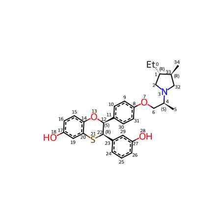 CC[C@H]1CN([C@@H](C)COc2ccc([C@@H]3Oc4ccc(O)cc4S[C@@H]3c3cccc(O)c3)cc2)C[C@@H]1C